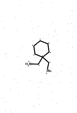 CC(C)(C)CC1(CN)CCCCC1